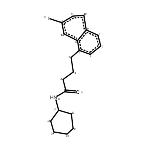 O=C(CCCc1cccc2ccc(I)cc12)NC1CCCCC1